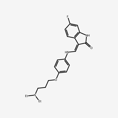 CCN(CC)CCCOc1ccc(N/C=C2/C(=O)Nc3cc(F)ccc32)cc1